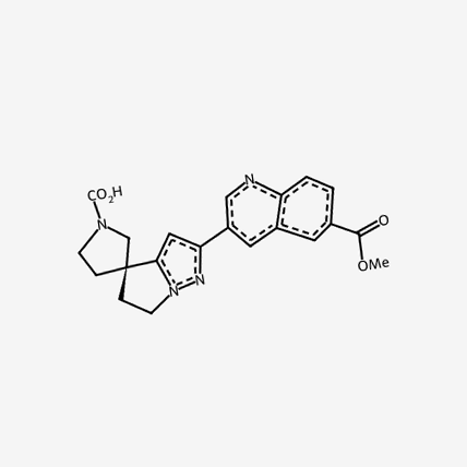 COC(=O)c1ccc2ncc(-c3cc4n(n3)CC[C@]43CCN(C(=O)O)C3)cc2c1